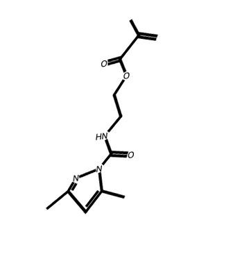 C=C(C)C(=O)OCCNC(=O)n1nc(C)cc1C